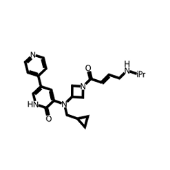 CC(C)NCC=CC(=O)N1CC(N(CC2CC2)c2cc(-c3ccncc3)c[nH]c2=O)C1